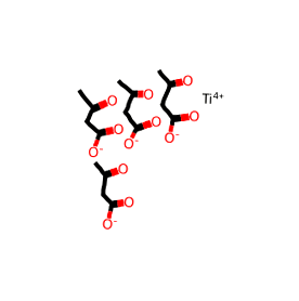 CC(=O)CC(=O)[O-].CC(=O)CC(=O)[O-].CC(=O)CC(=O)[O-].CC(=O)CC(=O)[O-].[Ti+4]